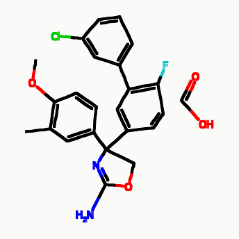 COc1ccc(C2(c3ccc(F)c(-c4cccc(Cl)c4)c3)COC(N)=N2)cc1C.O=CO